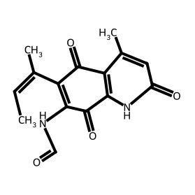 C/C=C(/C)C1=C(NC=O)C(=O)c2[nH]c(=O)cc(C)c2C1=O